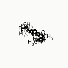 COc1cc([C@@H](C)C(=O)N2CC[C@@]3(CCc4cc(-c5nc(C(F)(F)F)n(C)n5)c(C)nc4N3)C2)c(F)cn1